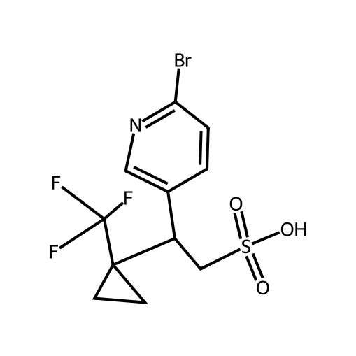 O=S(=O)(O)CC(c1ccc(Br)nc1)C1(C(F)(F)F)CC1